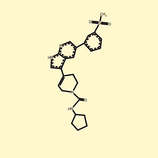 CS(=O)(=O)c1cccc(-c2cnc3[nH]cc(C4=CCN(C(=O)NC5CCCC5)CC4)c3c2)c1